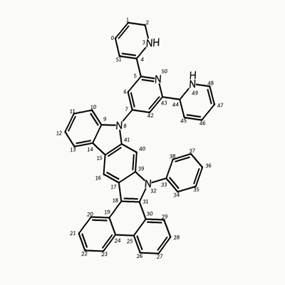 C1=CCNC(c2cc(-n3c4ccccc4c4cc5c6c7ccccc7c7ccccc7c6n(-c6ccccc6)c5cc43)cc(C3C=CC=CN3)n2)=C1